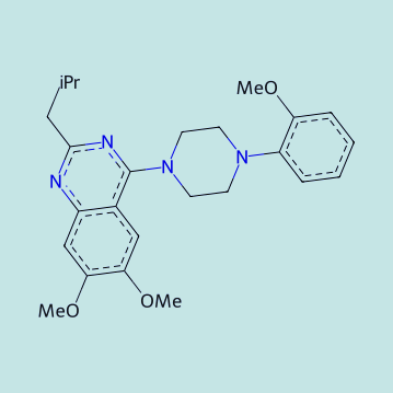 COc1cc2nc(CC(C)C)nc(N3CCN(c4ccccc4OC)CC3)c2cc1OC